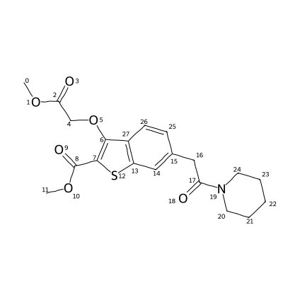 COC(=O)COc1c(C(=O)OC)sc2cc(CC(=O)N3CCCCC3)ccc12